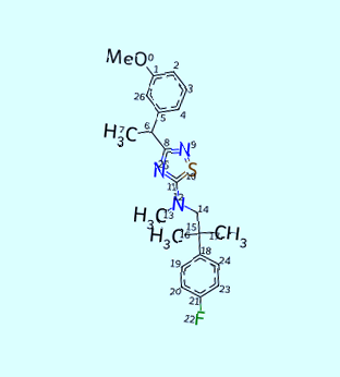 COc1cccc(C(C)c2nsc(N(C)CC(C)(C)c3ccc(F)cc3)n2)c1